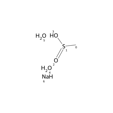 CS(=O)O.O.O.[NaH]